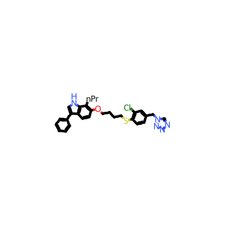 CCCc1c(OCCCCSc2ccc(Cn3cnnn3)cc2Cl)ccc2c(-c3ccccc3)c[nH]c12